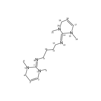 CN1C=CCN(C)C1=NCCCCN=C1N(C)C=CCN1C